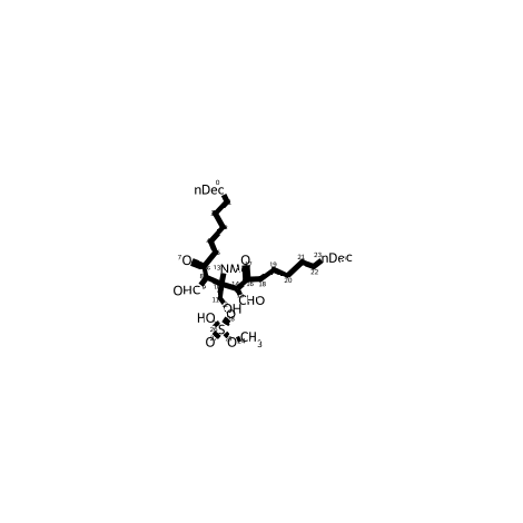 CCCCCCCCCCCCCCCC(=O)C(C=O)C(CO)(NC)C(C=O)C(=O)CCCCCCCCCCCCCCC.COS(=O)(=O)O